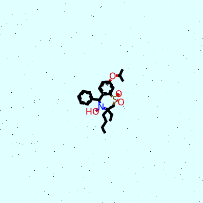 CCCCC1(CC)CS(=O)(=O)c2cc(OC(C)C)ccc2C(c2ccccc2)N1O